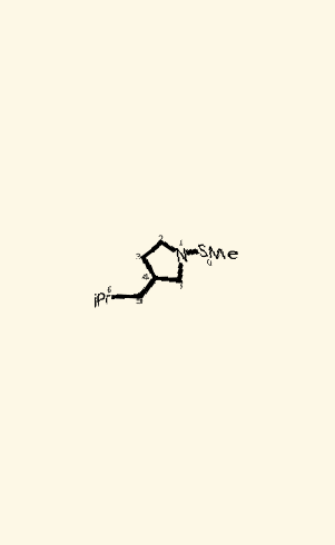 CSN1CCC(CC(C)C)C1